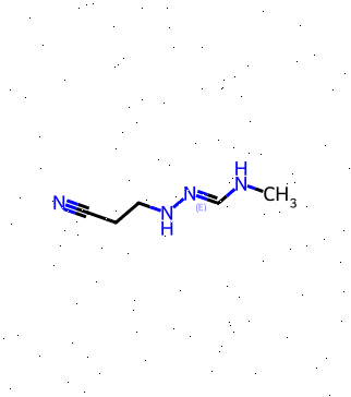 CN/C=N/NCCC#N